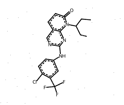 CCC(CC)n1c(=O)ccc2cnc(Nc3ccc(Cl)c(C(F)(F)F)c3)nc21